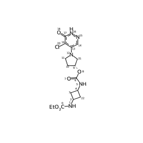 CCOC(=O)NC1CC(NC(=O)O[C@@H]2CCN(c3cn[nH]c(=O)c3Cl)C2)C1